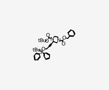 CC(C)(C)OC(=O)N1CCN(C(=O)OCc2ccccc2)CC1C#CCO[Si](c1ccccc1)(c1ccccc1)C(C)(C)C